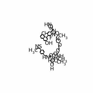 Cc1ncsc1-c1ccc(CCNC(=O)[C@@H]2C[C@H](O)CN2C(=O)[C@@H](NC(=O)COCCOC2CCN(C[C@@H](C)Oc3nc(N4CCNCC4)c4cc(Cl)c(-c5cc(O)cc6ccccc56)c(F)c4n3)CC2)C(C)(C)C)cc1